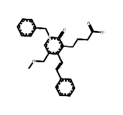 COCc1cn(Cc2ccccc2)c(=O)c(CCCC(=O)O)c1/C=C/c1ccccc1